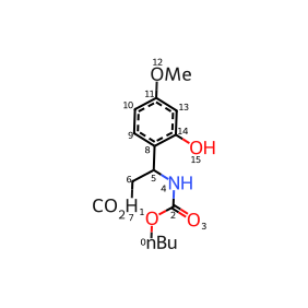 CCCCOC(=O)NC(CC(=O)O)c1ccc(OC)cc1O